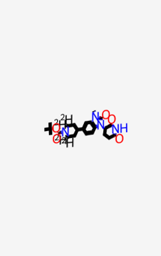 [2H]C1([2H])CC(c2ccc3c(c2)n(C)c(=O)n3C2CCC(=O)NC2=O)CC([2H])([2H])N1C(=O)OC(C)(C)C